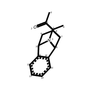 CC(=O)C(C)N1C2CCCC1c1ccccc12